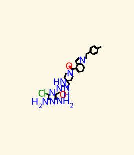 Cc1ccc(CCn2ccc3c2CCC=C3C(=O)N2CCC3(CC2)CN/C(=N\C(=O)c2nc(Cl)c(N)nc2N)N3)cc1